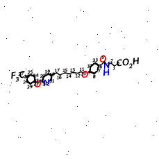 O=C(O)CCNC(=O)c1ccc(OCCCCCCCc2ccc(Oc3ccc(C(F)(F)F)cc3)nc2)cc1